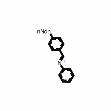 CCCCCCCCCc1ccc(/C=N/c2ccccc2)cc1